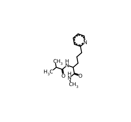 CNC(=O)C(CCCc1ccccn1)NC(=O)C(C)C